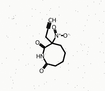 C#CCC1([N+](=O)[O-])CCCCC(=O)NC1=O